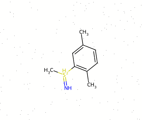 Cc1ccc(C)c([SH2](C)=N)c1